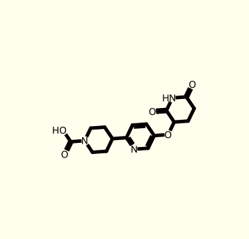 O=C1CCC(Oc2ccc(C3CCN(C(=O)O)CC3)nc2)C(=O)N1